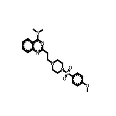 COc1ccc(S(=O)(=O)N2CCN(CCc3nc(N(C)C)c4ccccc4n3)CC2)cc1